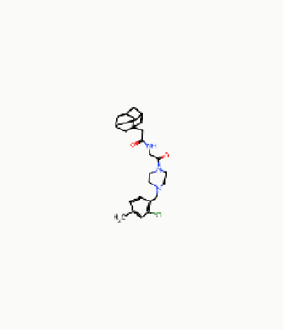 Cc1ccc(CN2CCN(C(=O)CNC(=O)CC34CC5CC(CC(C5)C3)C4)CC2)c(Cl)c1